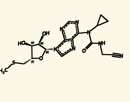 CSC[C@H]1O[C@@H](n2cnc3c(N(C(=O)NCC#N)C4CC4)ncnc32)[C@H](O)[C@@H]1O